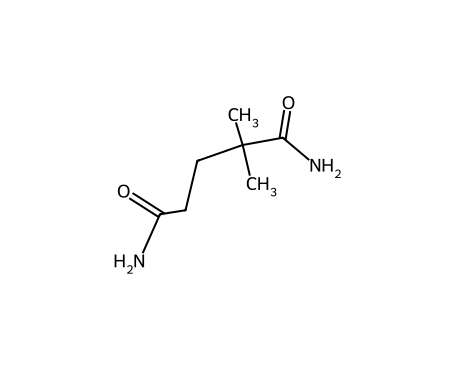 CC(C)(CCC(N)=O)C(N)=O